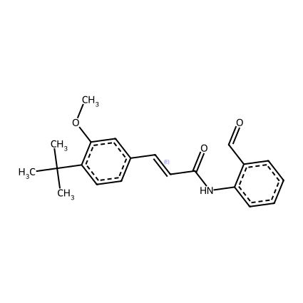 COc1cc(/C=C/C(=O)Nc2ccccc2C=O)ccc1C(C)(C)C